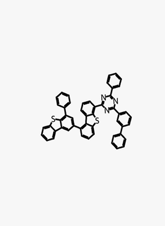 c1ccc(-c2cccc(-c3nc(-c4ccccc4)nc(-c4cccc5c4sc4cccc(-c6cc(-c7ccccc7)c7sc8ccccc8c7c6)c45)n3)c2)cc1